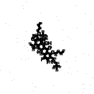 CCCCOc1noc2c1C(=O)[C@@]1(O[Si](C)(C)C(C)(C)C)C(O)=C3C(=O)c4c(c(F)c(F)c(CNCC(C)(C)C)c4OCCCC)C[C@H]3C[C@H]1[C@@H]2N(C)C